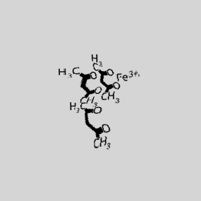 CC(=O)CC(C)=O.CC(=O)CC(C)=O.CC(=O)CC(C)=O.[Fe+3]